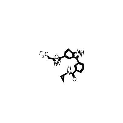 O=C(NC1CC1)c1cccc(-c2n[nH]c3ccc(-c4nnc(CC(F)(F)F)o4)cc23)c1